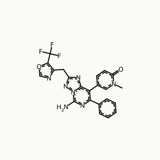 Cn1cc(-c2c(-c3ccccc3)nc(N)n3nc(Cc4ncoc4C(F)(F)F)nc23)ccc1=O